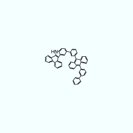 c1ccc(-c2cccc(-c3c4ccccc4c(-c4cccc(-c5ccc6[nH]c7c8ccccc8c8ccccc8c7c6c5)c4)c4ccccc34)c2)cc1